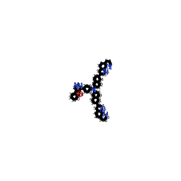 c1cnc2c(c1)ccc1cc(-c3ccc4cc(N(c5ccc(-c6nncc7c6oc6ccccc67)cc5)c5ccc6cc(-c7cnc8c(ccc9cccnc98)c7)ccc6c5)ccc4c3)cnc12